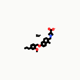 CCCc1ccc(COc2ccc3c(c2)CCC(CN2CC(C(=O)[O-])C2)=C3C)c(OC)c1.[Na+]